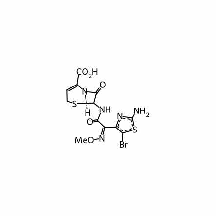 CO/N=C(\C(=O)NC1C(=O)N2C(C(=O)O)=CCS[C@H]12)c1nc(N)sc1Br